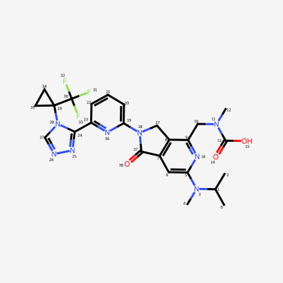 CC(C)N(C)c1cc2c(c(CN(C)C(=O)O)n1)CN(c1cccc(-c3nncn3C3(C(F)(F)F)CC3)n1)C2=O